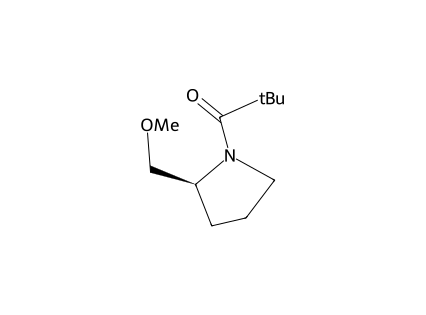 COC[C@@H]1CCCN1C(=O)C(C)(C)C